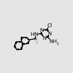 C[C@@H](Nc1nc(N)nc(Cl)n1)c1ccc2ccccc2c1